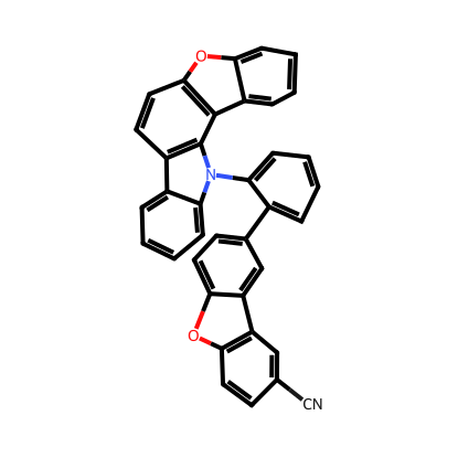 N#Cc1ccc2oc3ccc(-c4ccccc4-n4c5ccccc5c5ccc6oc7ccccc7c6c54)cc3c2c1